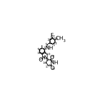 Cc1ccc(CNc2cccc3c2CN([C@H]2CCC(=O)NC2=O)C3=O)cc1F